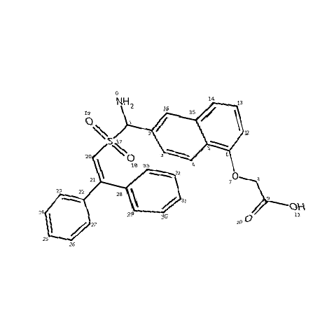 NC(c1ccc2c(OCC(=O)O)cccc2c1)S(=O)(=O)C=C(c1ccccc1)c1ccccc1